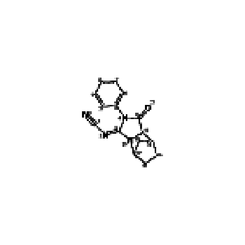 N#CN=C1N(c2ccccc2)C(=O)C2C3CCC(C3)N12